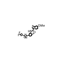 COc1ccn2c(C(=O)Nc3cc(-c4noc(C5CC(F)(F)C5)n4)ccc3C)cnc2c1